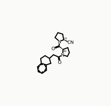 N#C[C@@H]1CCCN1C(=O)[C@H]1CCCN1C(=O)CC1CCc2ccccc2C1